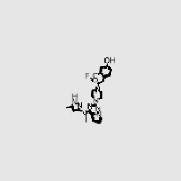 Cc1cc(Nc2nc(N3CCN(C(=O)Cc4ccc(O)cc4C(F)(F)F)CC3)nn3cccc23)n[nH]1